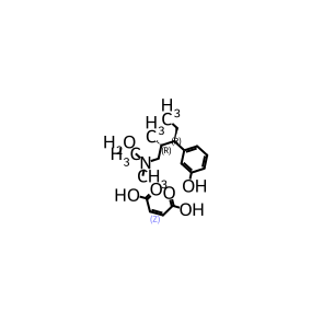 CC[C@@H](c1cccc(O)c1)[C@@H](C)CN(C)C.O.O=C(O)/C=C\C(=O)O